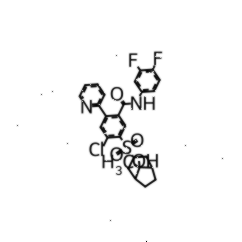 C[C@]1(O)C2CCC1C[C@@H](S(=O)(=O)c1cc(C(=O)Nc3ccc(F)c(F)c3)c(-c3ccccn3)cc1Cl)C2